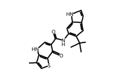 Cc1csc2c(=O)c(C(=O)Nc3cc4[nH]ccc4cc3C(C)(C)C)c[nH]c12